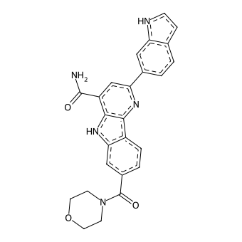 NC(=O)c1cc(-c2ccc3cc[nH]c3c2)nc2c1[nH]c1cc(C(=O)N3CCOCC3)ccc12